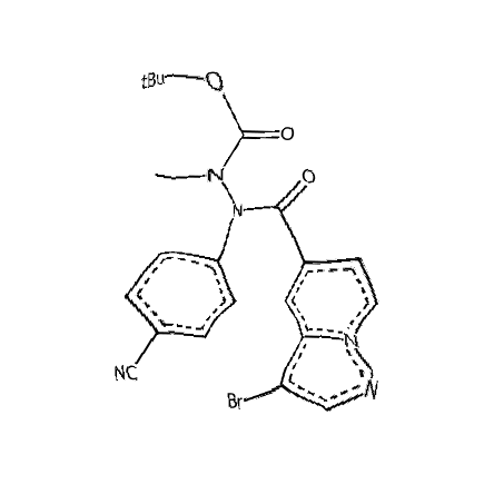 CN(C(=O)OC(C)(C)C)N(C(=O)c1ccn2ncc(Br)c2c1)c1ccc(C#N)cc1